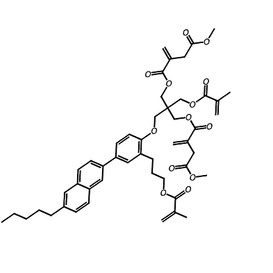 C=C(C)C(=O)OCCCc1cc(-c2ccc3cc(CCCCC)ccc3c2)ccc1OCC(COC(=O)C(=C)C)(COC(=O)C(=C)CC(=O)OC)COC(=O)C(=C)CC(=O)OC